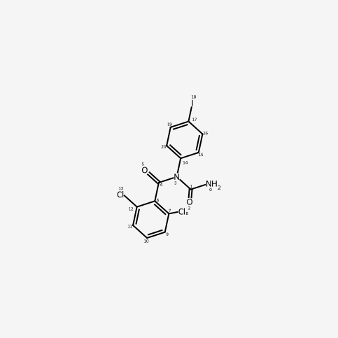 NC(=O)N(C(=O)c1c(Cl)cccc1Cl)c1ccc(I)cc1